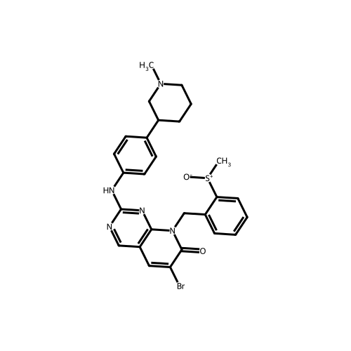 CN1CCCC(c2ccc(Nc3ncc4cc(Br)c(=O)n(Cc5ccccc5[S+](C)[O-])c4n3)cc2)C1